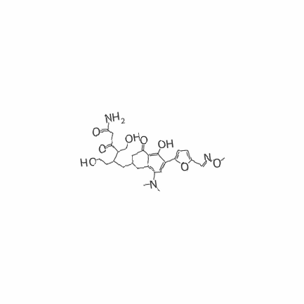 CO/N=C/c1ccc(-c2cc(N(C)C)c3c(c2O)C(=O)CC(CC(CCO)C(CO)C(=O)CC(N)=O)C3)o1